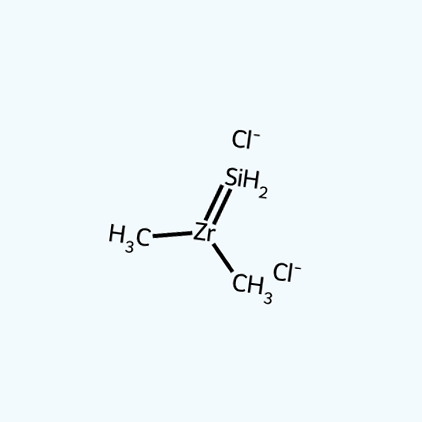 [CH3][Zr]([CH3])=[SiH2].[Cl-].[Cl-]